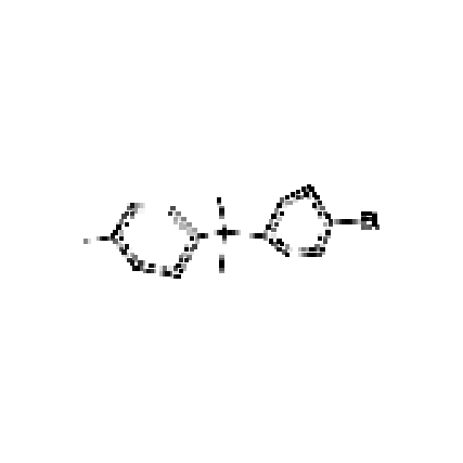 CCc1ccc(C(C)(C)c2ccc(C)cc2)cc1